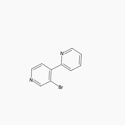 Brc1cnccc1-c1ccccn1